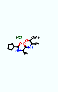 COC(=O)C(NC(=O)C(NC(=O)C1CCCC1)C(C)C)C(C)C.Cl